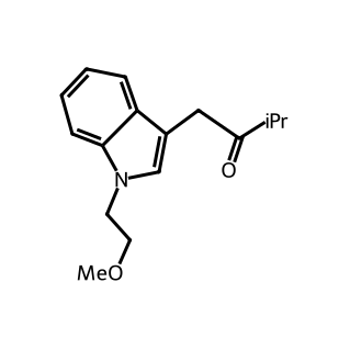 COCCn1cc(CC(=O)C(C)C)c2ccccc21